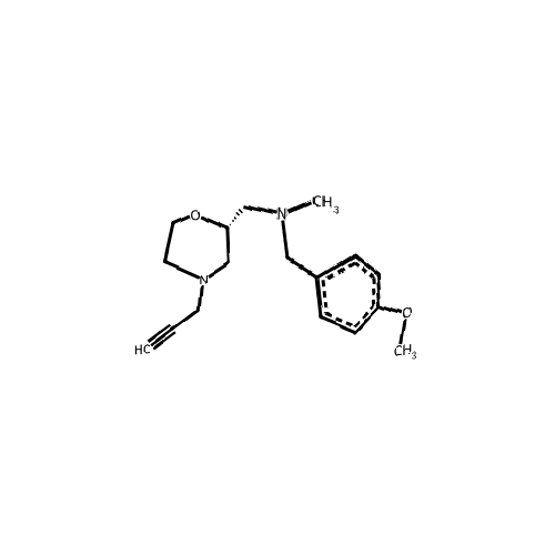 C#CCN1CCO[C@H](CN(C)Cc2ccc(OC)cc2)C1